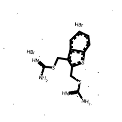 Br.Br.N=C(N)SCc1sc2ccccc2c1CSC(=N)N